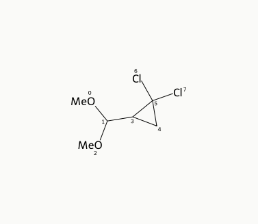 COC(OC)C1CC1(Cl)Cl